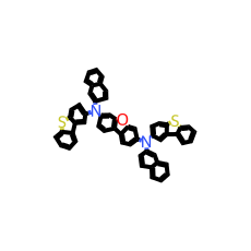 c1ccc2cc(N(c3ccc4c(c3)oc3cc(N(c5ccc6ccccc6c5)c5ccc6sc7ccccc7c6c5)ccc34)c3ccc4sc5ccccc5c4c3)ccc2c1